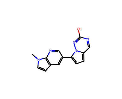 Cn1ccc2cc(-c3ccc4cnc(O)nn34)cnc21